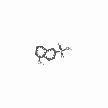 Cc1cccc2cc(S(C)(=O)=O)ccc12